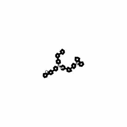 c1ccc(-c2cccc(-c3ccc(N(c4ccc(-c5cccc(-c6ccc(-n7c8ccccc8c8ccccc87)cc6)c5)cc4)c4ccc(-c5ccc6c(c5)oc5ccccc56)cc4)cc3)c2)cc1